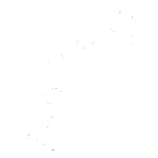 O=C(Nc1ccccc1-c1ccccc1)OC1CCN(CCNCC(=O)c2ccc(CNC[C@@H](O)c3ccc(O)c4[nH]c(=O)ccc34)s2)CC1